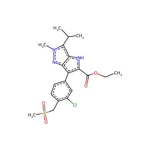 CCOC(=O)c1[nH]c2c(C(C)C)n(C)nc2c1-c1ccc(CS(C)(=O)=O)c(Cl)c1